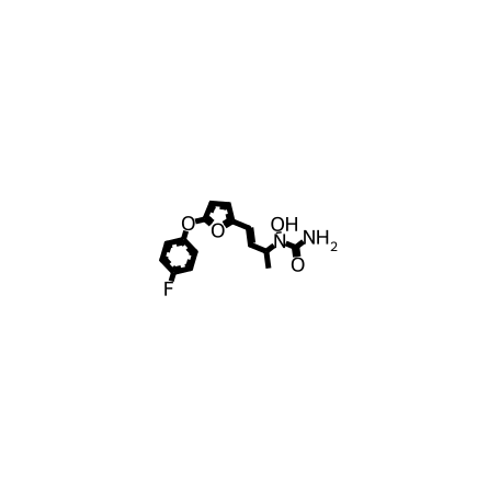 CC(C=Cc1ccc(Oc2ccc(F)cc2)o1)N(O)C(N)=O